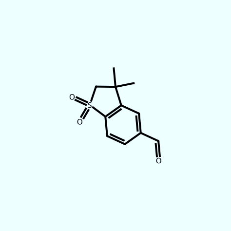 CC1(C)CS(=O)(=O)c2ccc(C=O)cc21